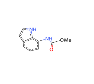 COC(=O)Nc1cccc2cc[nH]c12